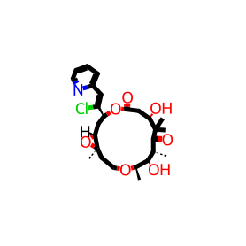 C[C@H]1OCC[C@@]2(C)O[C@H]2C[C@@H](C(Cl)=Cc2ccccn2)OC(=O)C[C@H](O)C(C)(C)C(=O)[C@H](C)[C@@H]1O